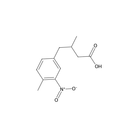 Cc1ccc(CC(C)CC(=O)O)cc1[N+](=O)[O-]